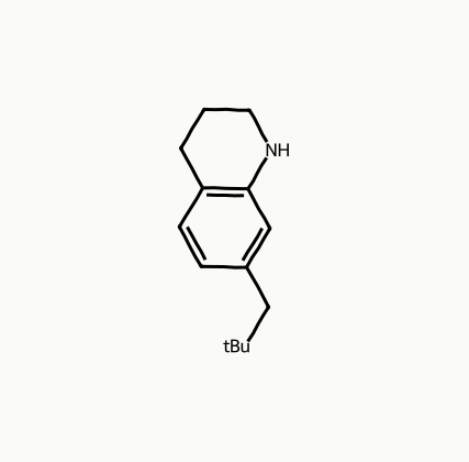 CC(C)(C)Cc1ccc2c(c1)NCCC2